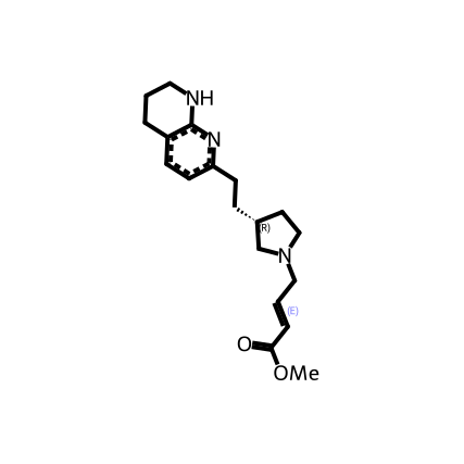 COC(=O)/C=C/CN1CC[C@@H](CCc2ccc3c(n2)NCCC3)C1